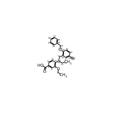 CCOc1cc(C(=O)O)ccc1N(CC)Cc1cc(Br)ccc1OCc1ccccc1